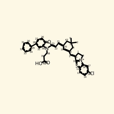 CC1(C)CC(C=C2CC[n+]3c2sc2ccc(Cl)cc23)=C/C(=C\C=C2/Oc3ccc(-c4ccccc4)cc3N2CCC(=O)O)C1